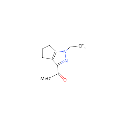 COC(=O)c1nn(CC(F)(F)F)c2c1CCC2